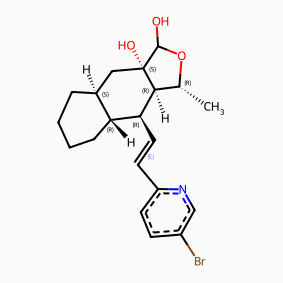 C[C@H]1OC(O)[C@]2(O)C[C@@H]3CCCC[C@H]3[C@H](/C=C/c3ccc(Br)cn3)[C@H]12